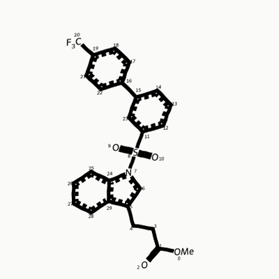 COC(=O)CCc1cn(S(=O)(=O)c2cccc(-c3ccc(C(F)(F)F)cc3)c2)c2ccccc12